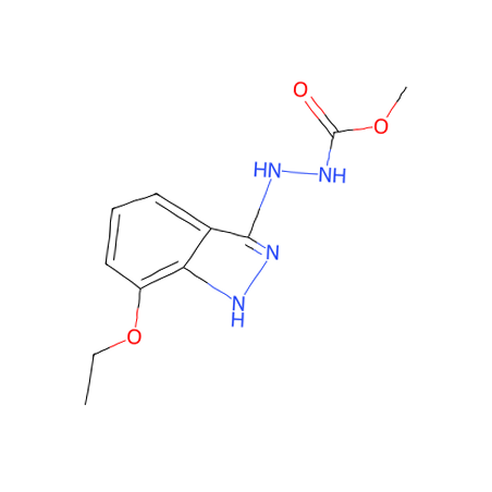 CCOc1cccc2c(NNC(=O)OC)n[nH]c12